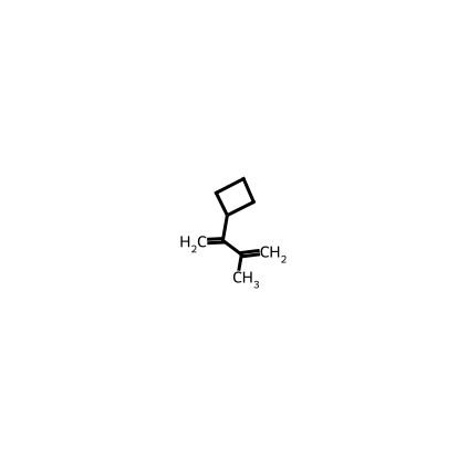 C=C(C)C(=C)C1CCC1